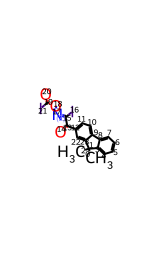 CC1(C)c2ccccc2-c2ccc(C(=O)/C(I)=N/OC(=O)I)cc21